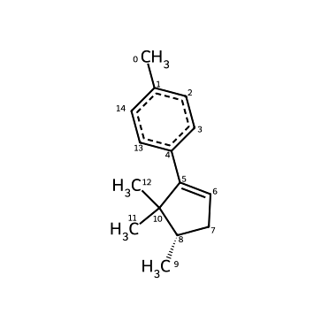 Cc1ccc(C2=CC[C@H](C)C2(C)C)cc1